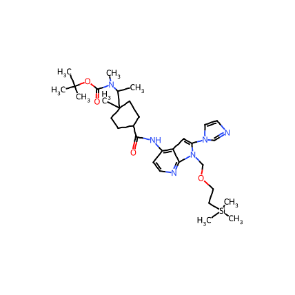 CC(N(C)C(=O)OC(C)(C)C)C1(C)CCC(C(=O)Nc2ccnc3c2cc(-n2ccnc2)n3COCC[Si](C)(C)C)CC1